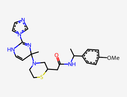 COc1ccc(C(C)NC(=O)CC2CN(C3(C)C=CNC(n4ccnc4)=N3)CCS2)cc1